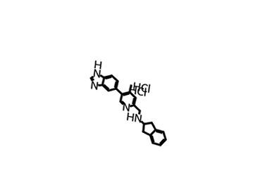 Cc1cc(CNC2Cc3ccccc3C2)ncc1-c1ccc2[nH]cnc2c1.Cl.Cl